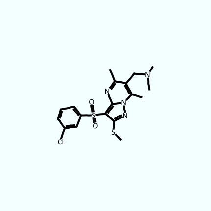 CSc1nn2c(C)c(CN(C)C)c(C)nc2c1S(=O)(=O)c1cccc(Cl)c1